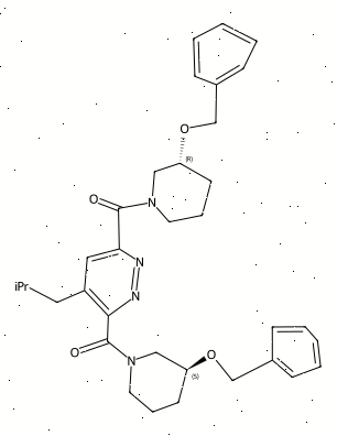 CC(C)Cc1cc(C(=O)N2CCC[C@@H](OCc3ccccc3)C2)nnc1C(=O)N1CCC[C@H](OCc2ccccc2)C1